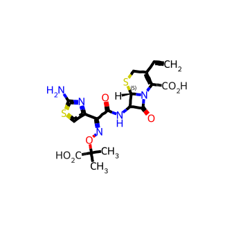 C=CC1=C(C(=O)O)N2C(=O)C(NC(=O)C(=NOC(C)(C)C(=O)O)c3csc(N)n3)[C@@H]2SC1